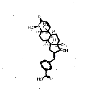 CN1C(=O)C=C[C@]2(C)[C@H]3CC[C@]4(C)[C@@H](O)/C(=C/c5cccc(C(=O)O)c5)C[C@H]4[C@@H]3CC[C@@H]12